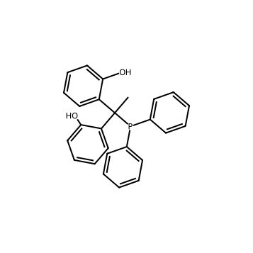 CC(c1ccccc1O)(c1ccccc1O)P(c1ccccc1)c1ccccc1